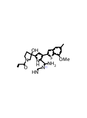 C=CC(=O)N1CCC(O)(c2cc(-c3cc4cc(C)cc(OC)c4s3)c(/C(N)=N\C=N)[nH]2)C1